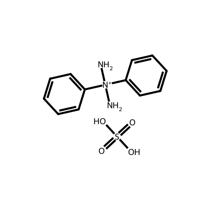 N[N+](N)(c1ccccc1)c1ccccc1.O=S(=O)(O)O